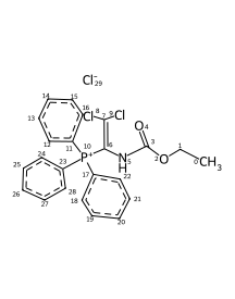 CCOC(=O)NC(=C(Cl)Cl)[P+](c1ccccc1)(c1ccccc1)c1ccccc1.[Cl-]